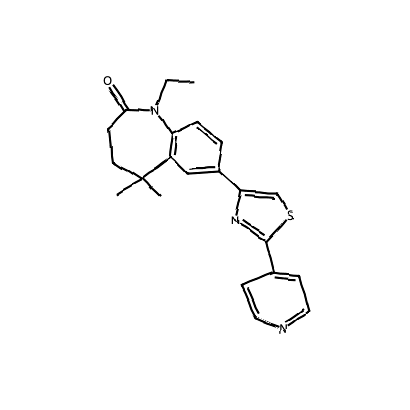 CCN1C(=O)CCC(C)(C)c2cc(-c3csc(-c4ccncc4)n3)ccc21